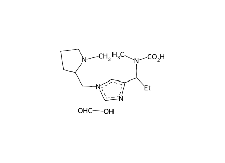 CCC(c1cn(CC2CCCN2C)cn1)N(C)C(=O)O.O=CO